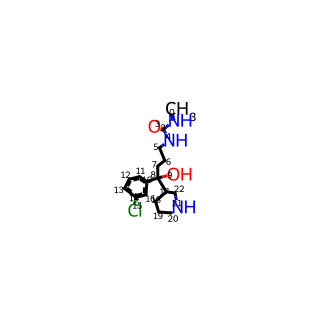 CNC(=O)NCCCC(O)(c1cccc(Cl)c1)C1CCCNC1